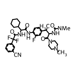 CNC(=O)NC(C(=O)N1CCN(C)CC1)C(C)c1ccc(NC(=O)C(NC(=O)C(F)(F)c2cccc(C#N)c2)C2CCCCC2)c(F)c1